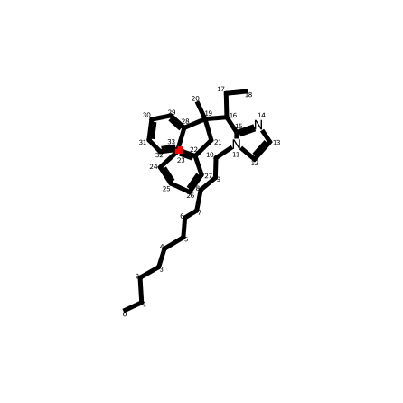 CCCCCCCCCCCn1ccnc1C(CC)C(C)(Cc1ccccc1)c1ccccc1